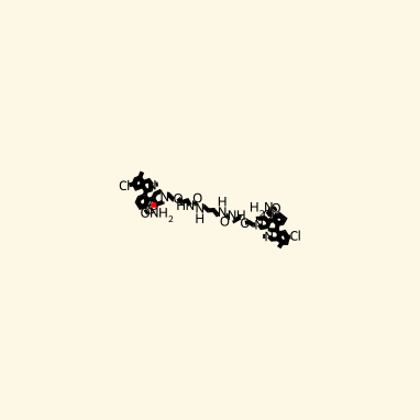 Cc1cc(Cl)cc2c1CN(C)CC2c1cccc(S(N)(=O)=O)c1C1CCN(CCOCCNC(=O)NCCCCNC(=O)NCCOCCN2CCC(c3c(C4CN(C)Cc5c(C)cc(Cl)cc54)cccc3S(N)(=O)=O)CC2)CC1